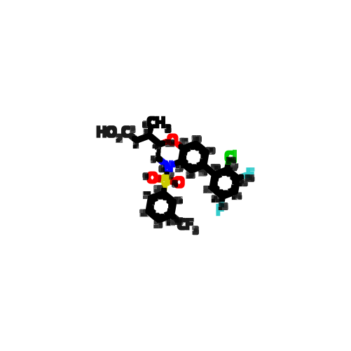 C[C@H](CC(=O)O)[C@H]1CN(S(=O)(=O)c2cccc(C(F)(F)F)c2)c2cc(-c3cc(F)cc(F)c3Cl)ccc2O1